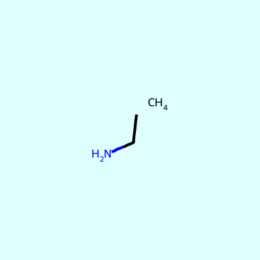 C.CCN